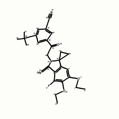 CCOc1cc2c(c(F)c1OCC)C(=N)N(CC(=O)c1cc(C#N)cc(C(C)(C)C)c1)C21CC1